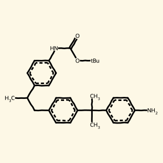 CC(Cc1ccc(C(C)(C)c2ccc(N)cc2)cc1)c1ccc(NC(=O)OC(C)(C)C)cc1